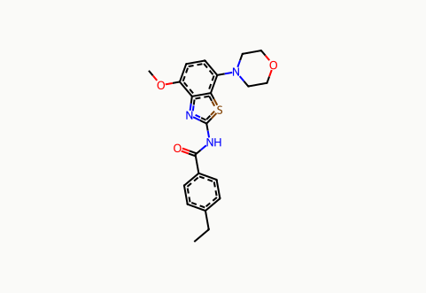 CCc1ccc(C(=O)Nc2nc3c(OC)ccc(N4CCOCC4)c3s2)cc1